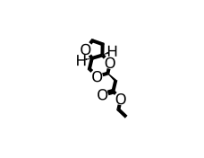 CCOC(=O)C[C@H]1OC[C@H]2OCC[C@H]2O1